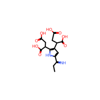 CCC(=N)c1cc(C(CC(=O)O)C(=O)O)c(C(CC(=O)O)C(=O)O)[nH]1